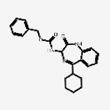 O=C(NC1N=C(C2CCCCC2)c2ccccc2NC1=O)OCc1ccccc1